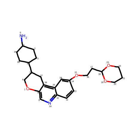 NC1CCC(C2COc3cnc4ccc(OCCC5OCCCO5)cc4c3C2)CC1